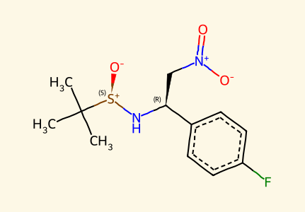 CC(C)(C)[S@@+]([O-])N[C@@H](C[N+](=O)[O-])c1ccc(F)cc1